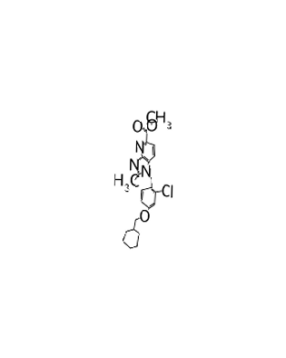 COC(=O)c1ccc2c(n1)nc(C)n2Cc1ccc(OCC2CCCCC2)cc1Cl